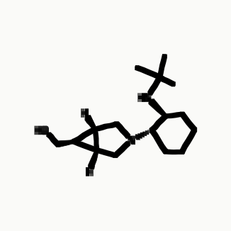 CC(C)(C)N[C@H]1CCCC[C@@H]1N1C[C@@H]2[C@@H](CO)[C@@H]2C1